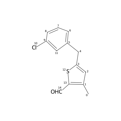 Cc1cc(Cc2cccc(Cl)c2)sc1C=O